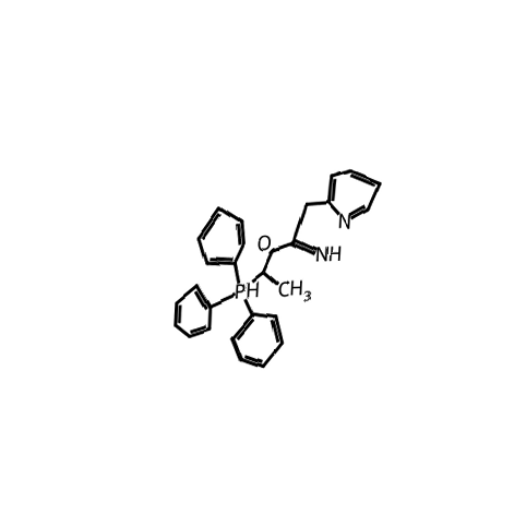 CC(C(=O)C(=N)Cc1ccccn1)[PH](c1ccccc1)(c1ccccc1)c1ccccc1